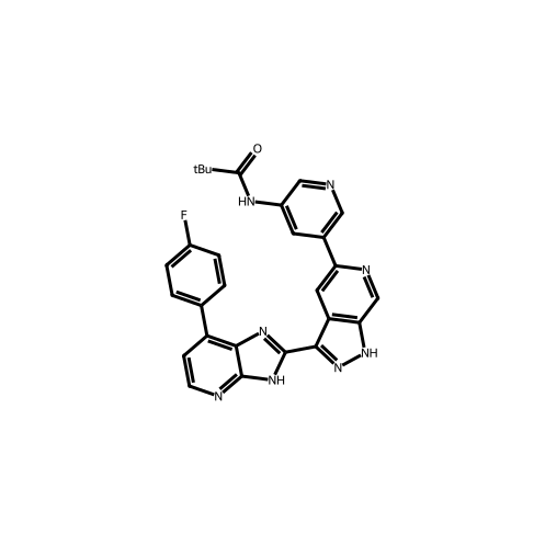 CC(C)(C)C(=O)Nc1cncc(-c2cc3c(-c4nc5c(-c6ccc(F)cc6)ccnc5[nH]4)n[nH]c3cn2)c1